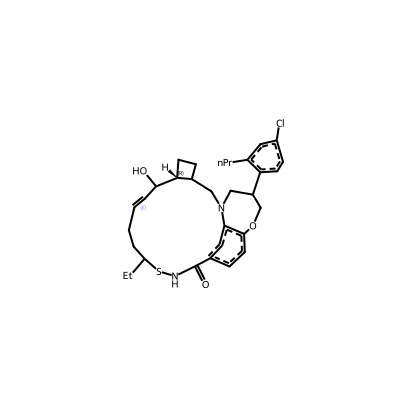 CCCc1cc(Cl)ccc1C1COc2ccc3cc2N(C1)CC1CC[C@H]1C(O)/C=C/CCC(CC)SNC3=O